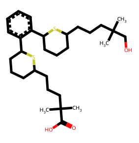 CC(C)(CO)CCCC1CCCC(c2ccccc2C2CCCC(CCCC(C)(C)C(=O)O)S2)S1